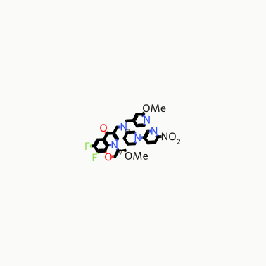 COC[C@H]1COc2c(F)c(F)cc3c(=O)c(CN(Cc4ccnc(OC)c4)[C@H]4CCCN(c5ccc([N+](=O)[O-])nc5)C4)cn1c23